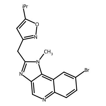 CC(C)c1cc(Cc2nc3cnc4ccc(Br)cc4c3n2C)no1